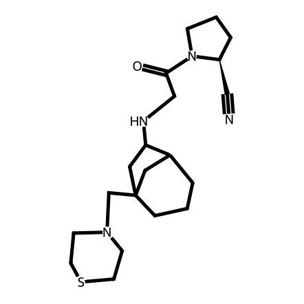 N#C[C@@H]1CCCN1C(=O)CNC1CC2(CN3CCSCC3)CCCC1C2